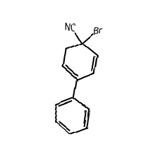 N#CC1(Br)C=CC(c2ccccc2)=CC1